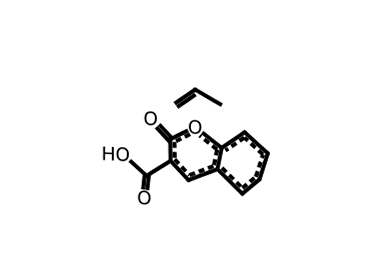 C=CC.O=C(O)c1cc2ccccc2oc1=O